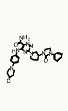 NC(=O)c1nnc(N2CCCC(N3CCN(c4ccccc4)C3=O)C2)nc1Nc1ccc(N2CCC(=O)CC2)cc1